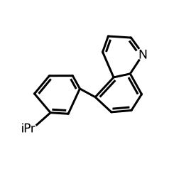 CC(C)c1cccc(-c2cccc3ncccc23)c1